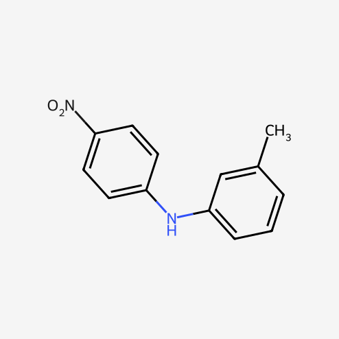 Cc1cccc(Nc2ccc([N+](=O)[O-])cc2)c1